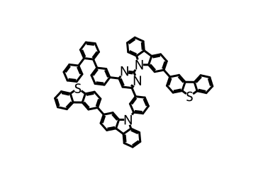 c1ccc(-c2ccccc2-c2cccc(-c3cc(-c4cccc(-n5c6ccccc6c6ccc(-c7ccc8sc9ccccc9c8c7)cc65)c4)nc(-n4c5ccccc5c5ccc(-c6ccc7sc8ccccc8c7c6)cc54)n3)c2)cc1